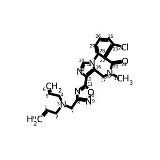 C=CCN(CC=C)Cc1noc(-c2ncn3c2CN(C)C(=O)c2c(Cl)cccc2-3)n1